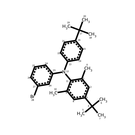 Cc1cc(C(C)(C)C)cc(C)c1N(c1ccc(C(C)(C)C)cc1)c1cccc(Br)c1